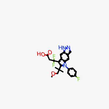 COCC(C)(C)c1c(C(F)(F)CC(=O)O)c2cc3[nH]ncc3cc2n1-c1ccc(F)cc1